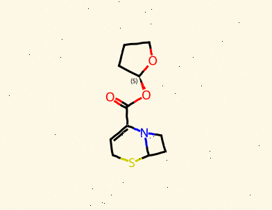 O=C(O[C@H]1CCCO1)C1=CCSC2CCN12